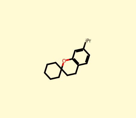 CC(C)c1ccc2c(c1)OC1(CCCCC1)CC2